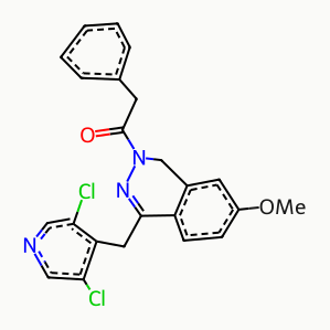 COc1ccc2c(c1)CN(C(=O)Cc1ccccc1)N=C2Cc1c(Cl)cncc1Cl